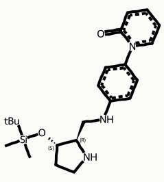 CC(C)(C)[Si](C)(C)O[C@H]1CCN[C@@H]1CNc1ccc(-n2ccccc2=O)cc1